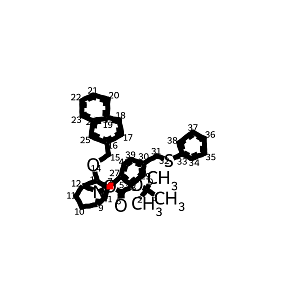 CC(C)(C)OC(=O)ON1C2CCC1C(OCc1ccc3ccccc3c1)C(c1ccc(CSc3ccccc3)cc1)C2